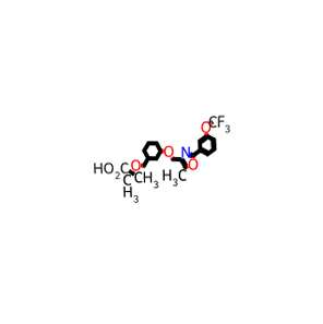 Cc1oc(-c2cccc(OC(F)(F)F)c2)nc1COC1CCCC(COC(C)(C)C(=O)O)C1